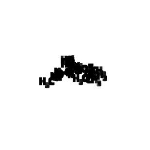 Cc1cn2cc(-c3cnc(-c4ccc(O[C@H]5CC(C)(C)NC(C)(C)[C@H]5F)nn4)c(O)c3)cnc2n1.Cl.Cl.Cl